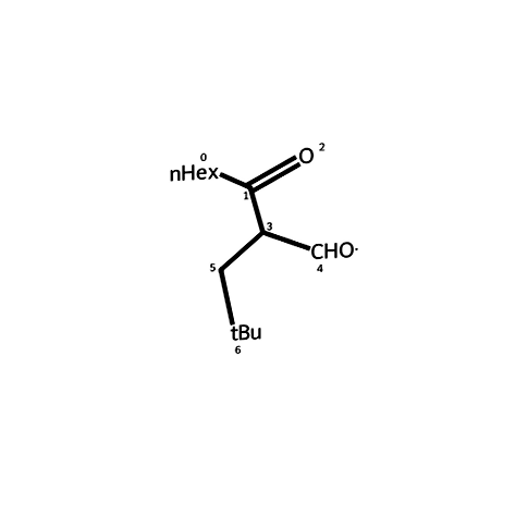 CCCCCCC(=O)C([C]=O)CC(C)(C)C